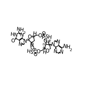 Nc1nc2c(ncn2[C@@H]2O[C@@H]3COP(=O)(S)O[C@H]4[C@@H](COP(=O)(S)O[C@@H]2C3)OC[C@@]4(F)n2cnc3c(N)ncnc32)c(=O)[nH]1